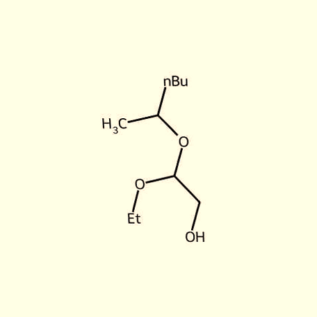 CCCCC(C)OC(CO)OCC